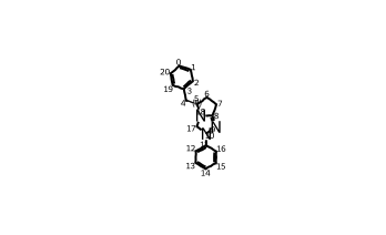 c1ccc(C[C@H]2CCC3=NN(c4ccccc4)CN32)cc1